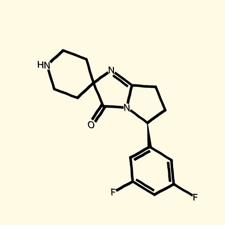 O=C1N2C(=NC13CCNCC3)CC[C@H]2c1cc(F)cc(F)c1